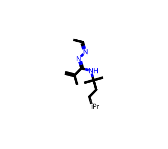 C=C(C)/C(=N/N=C\C)NC(C)(C)CCC(C)C